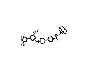 CCOc1cc(CN2CCN(c3ccc(C(=O)NCC45CC6CC(CC(C6)C4)C5)cc3)CC2)cc(-c2cncc(O)c2)c1